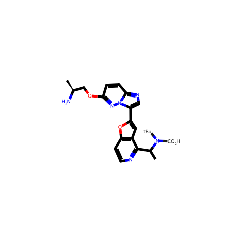 CC(c1nccc2oc(-c3cnc4ccc(OC[C@H](C)N)nn34)cc12)N(C(=O)O)C(C)(C)C